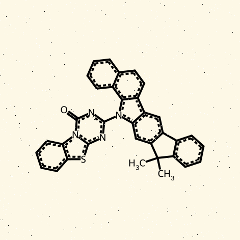 CC1(C)c2ccccc2-c2cc3c4ccc5ccccc5c4n(-c4nc(=O)n5c(n4)sc4ccccc45)c3cc21